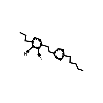 CCCCCc1ccc(CCc2ccc(CCC)c(C#N)c2C#N)cc1